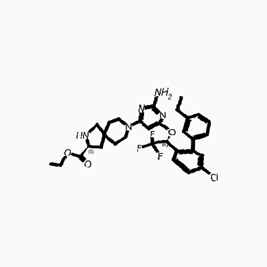 CCOC(=O)[C@@H]1CC2(CCN(c3cc(O[C@H](c4ccc(Cl)cc4-c4cccc(CC)c4)C(F)(F)F)nc(N)n3)CC2)CN1